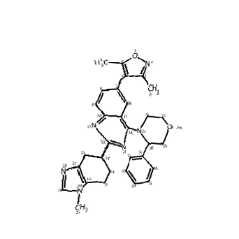 Cc1noc(C)c1-c1ccc2nc(C3CCc4c(ncn4C)C3)nc(N3CCOCC3c3ccccc3)c2c1